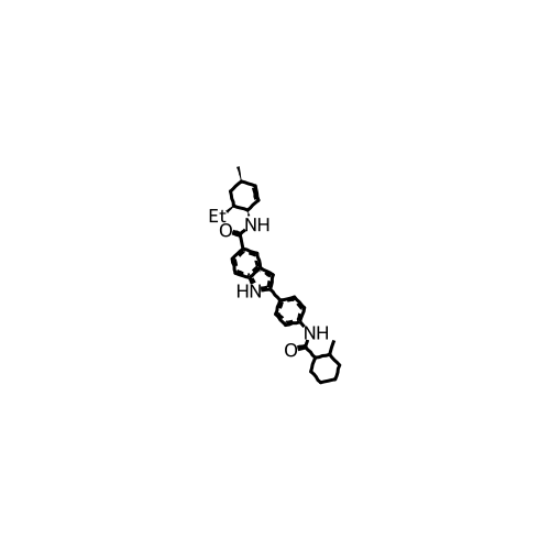 CC[C@H]1C[C@@H](C)C=C[C@@H]1NC(=O)c1ccc2[nH]c(-c3ccc(NC(=O)C4CCCCC4C)cc3)cc2c1